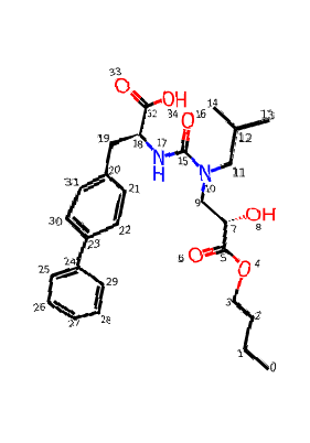 CCCCOC(=O)[C@@H](O)CN(CC(C)C)C(=O)N[C@@H](Cc1ccc(-c2ccccc2)cc1)C(=O)O